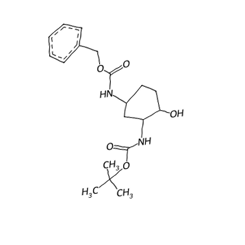 CC(C)(C)OC(=O)NC1CC(NC(=O)OCc2ccccc2)CCC1O